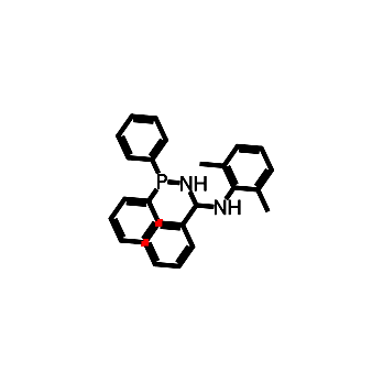 Cc1cccc(C)c1NC(NP(c1ccccc1)c1ccccc1)c1ccccc1